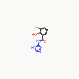 O=C(Nc1nnn[nH]1)c1cccc(Br)c1O